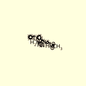 CS(=O)(=O)NCC1CC(n2cc(-c3cccc(OCc4ccccc4)c3)c3c(N)ncnc32)C1